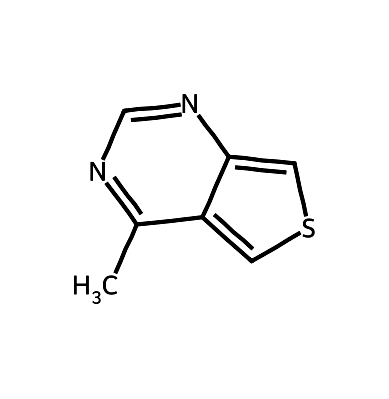 Cc1ncnc2cscc12